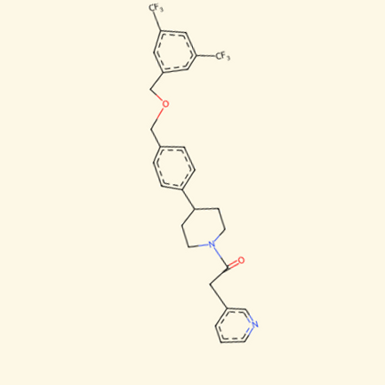 O=C(Cc1cccnc1)N1CCC(c2ccc(COCc3cc(C(F)(F)F)cc(C(F)(F)F)c3)cc2)CC1